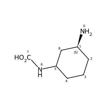 N[C@H]1CCCC(NC(=O)O)C1